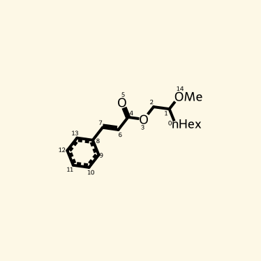 CCCCCCC(COC(=O)/C=C/c1ccccc1)OC